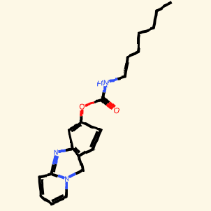 CCCCCCCNC(=O)Oc1ccc2c(c1)N=C1C=CC=CN1C2